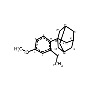 CCc1cc(OC)ccc1C12CC3CC(CC(C3)C1)C2